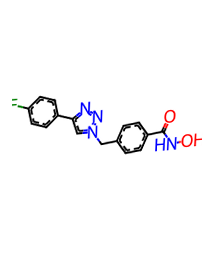 O=C(NO)c1ccc(Cn2cc(-c3ccc(F)cc3)nn2)cc1